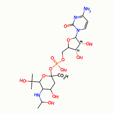 CC(O)NC1C(O)CC(OP(=O)(O)OCC2OC(n3ccc(N)nc3=O)[C@H](O)[C@@H]2O)(C(=O)O)OC1C(C)(C)O